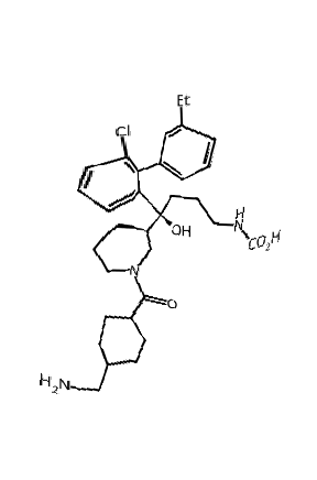 CCc1cccc(-c2c(Cl)cccc2[C@](O)(CCCNC(=O)O)[C@@H]2CCCN(C(=O)C3CCC(CN)CC3)C2)c1